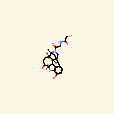 O=C(CS)NCC(=O)N1CC[C@@H]2C3c4c5ccc(O)c4O[C@H]3C(=O)CC[C@H]2[C@H]1C5